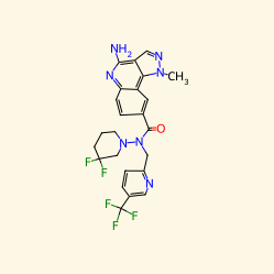 Cn1ncc2c(N)nc3ccc(C(=O)N(Cc4ccc(C(F)(F)F)cn4)N4CCCC(F)(F)C4)cc3c21